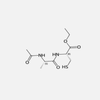 CCOC(=O)[C@H](CS)NC(=O)[C@H](C)NC(C)=O